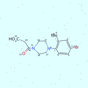 CC(C)(C)c1cc(Br)ccc1N1CCN(C(=O)CC(=O)O)CC1